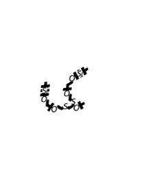 CC(C)(C)OC(CSCCOC(C)(C)CCOC(C)(C)[Si](C)(C)C(C)(C)C)SCCOC(C)(C)CCOC(C)(C)[Si](C)(C)C(C)(C)C